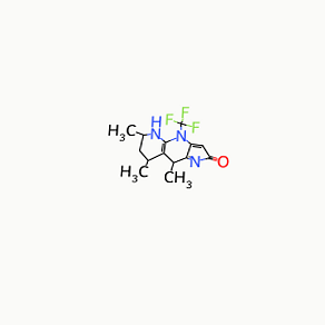 CC1CC(C)C2=C(N1)N(C(F)(F)F)C1=CC(=O)N=C1C2C